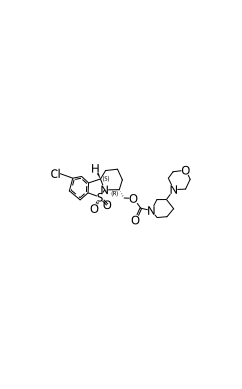 O=C(OC[C@H]1CCC[C@H]2c3cc(Cl)ccc3S(=O)(=O)N12)N1CCCC(N2CCOCC2)C1